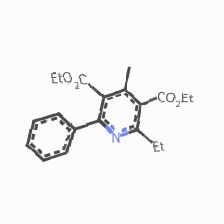 CCOC(=O)c1c(CC)nc(-c2ccccc2)c(C(=O)OCC)c1C